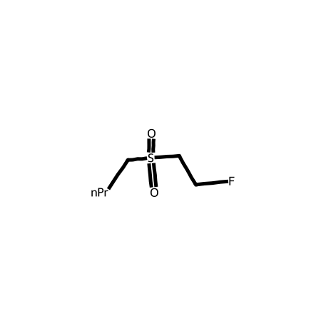 CCCCS(=O)(=O)CCF